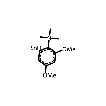 COc1ccc([N+](C)(C)C)c(OC)c1.[SnH4]